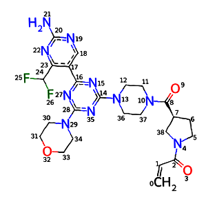 C=CC(=O)N1CC[C@H](C(=O)N2CCN(c3nc(-c4cnc(N)nc4C(F)F)nc(N4CCOCC4)n3)CC2)C1